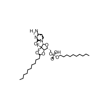 CCCCCCCCCCOP(=O)(O)OC[C@H]1O[C@@H](n2ccc(N)nc2=O)C(F)(F)[C@@H]1OC(=O)CCCCCCCCCC